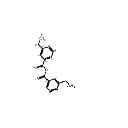 CCc1cccc(C(=S)OC(=S)c2cccc(CC)c2)c1